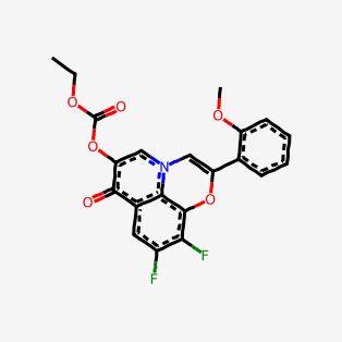 CCOC(=O)Oc1cn2c3c(c(F)c(F)cc3c1=O)OC(c1ccccc1OC)=C2